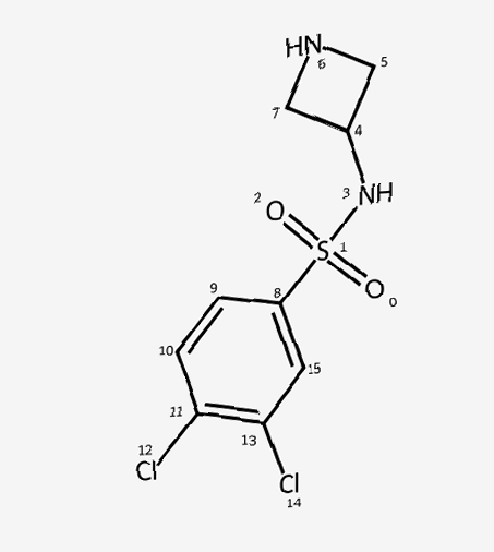 O=S(=O)(NC1CNC1)c1ccc(Cl)c(Cl)c1